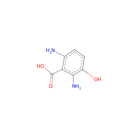 Nc1ccc(O)c(N)c1C(=O)O